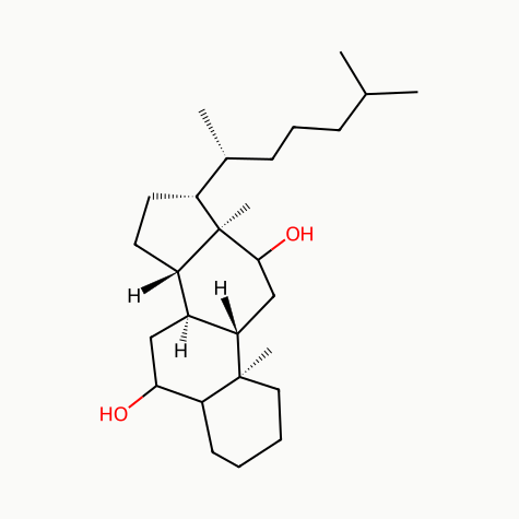 CC(C)CCC[C@@H](C)[C@H]1CC[C@H]2[C@@H]3CC(O)C4CCCC[C@]4(C)[C@H]3CC(O)[C@]12C